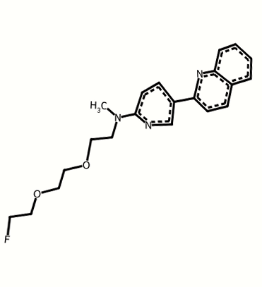 CN(CCOCCOCCF)c1ccc(-c2ccc3ccccc3n2)cn1